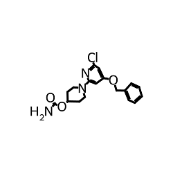 NC(=O)OC1CCN(c2cc(OCc3ccccc3)cc(Cl)n2)CC1